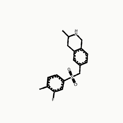 Cc1ccc(S(=O)(=O)Cc2ccc3c(c2)CC(C)NC3)cc1F